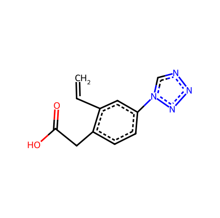 C=Cc1cc(-n2cnnn2)ccc1CC(=O)O